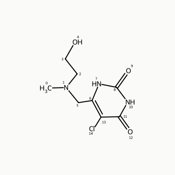 CN(CCO)Cc1[nH]c(=O)[nH]c(=O)c1Cl